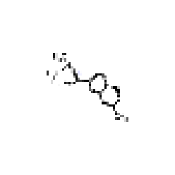 C=C/C(=C\N(C)C)c1cnc2ccc(C)cc2n1